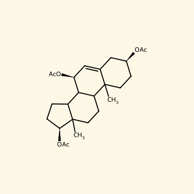 CC(=O)O[C@H]1CCC2(C)C(=C[C@H](OC(C)=O)C3C2CCC2(C)C3CC[C@@H]2OC(C)=O)C1